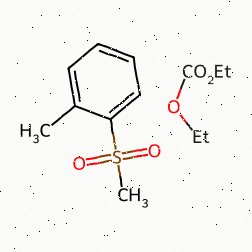 CCOC(=O)OCC.Cc1ccccc1S(C)(=O)=O